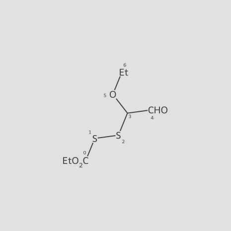 CCOC(=O)SSC(C=O)OCC